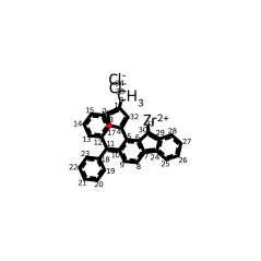 CC1=CCC(c2c3c(ccc2=C(c2ccccc2)c2ccccc2)=c2ccccc2=[C]3[Zr+2])=C1.[Cl-].[Cl-]